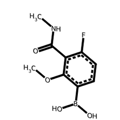 CNC(=O)c1c(F)ccc(B(O)O)c1OC